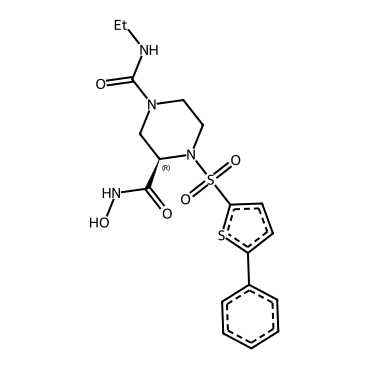 CCNC(=O)N1CCN(S(=O)(=O)c2ccc(-c3ccccc3)s2)[C@@H](C(=O)NO)C1